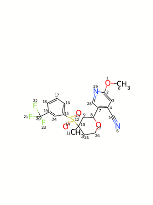 COc1cc(C#N)c(C2CC(C)(S(=O)(=O)c3cccc(C(F)(F)F)c3)CCO2)cn1